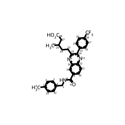 Cc1ccc(CNC(=O)c2ccc3nc(-c4ccc(C(F)(F)F)cc4)c(CCC(C)CC(=O)O)nc3c2)cc1